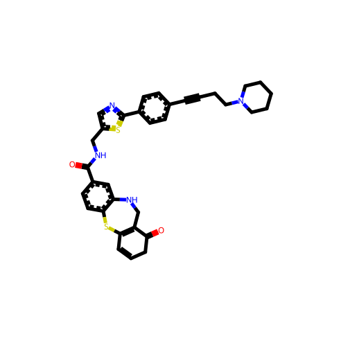 O=C1CC=CC2=C1CNc1cc(C(=O)NCc3cnc(-c4ccc(C#CCCN5CCCCC5)cc4)s3)ccc1S2